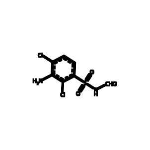 Nc1c(Cl)ccc(S(=O)(=O)NC=O)c1Cl